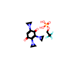 O=C1C=C(N2CC2)C(=O)C(N2CC2)=C1N1CC1.O=P(O)(O)OCC(F)(F)F